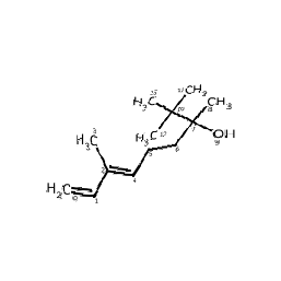 C=C/C(C)=C/CCC(C)(O)C(C)(C)C